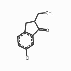 CCC1Cc2ccc(Cl)cc2C1=O